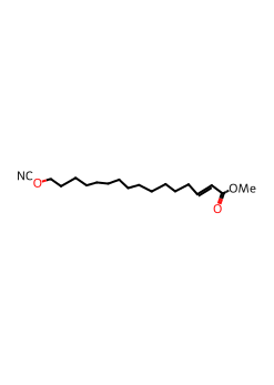 COC(=O)C=CCCCCCCCCCCCCCOC#N